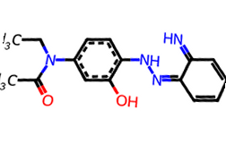 CCN(C(C)=O)c1ccc(N/N=C2/C=CC=CC2=N)c(O)c1